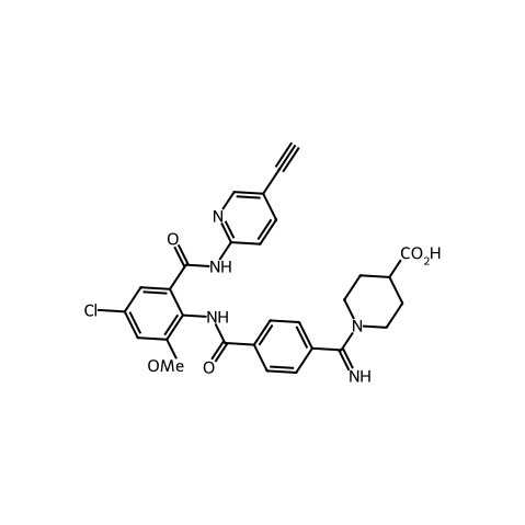 C#Cc1ccc(NC(=O)c2cc(Cl)cc(OC)c2NC(=O)c2ccc(C(=N)N3CCC(C(=O)O)CC3)cc2)nc1